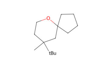 CC(C)(C)C1(C)CCOC2(CCCC2)C1